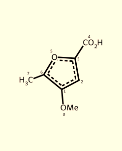 COc1cc(C(=O)O)oc1C